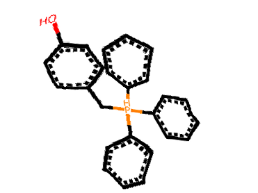 Oc1ccc(C[PH](c2ccccc2)(c2ccccc2)c2ccccc2)cc1